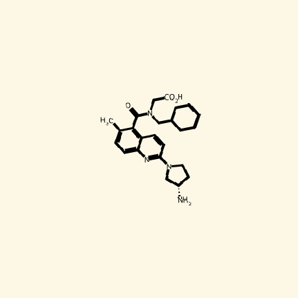 Cc1ccc2nc(N3CC[C@H](N)C3)ccc2c1C(=O)N(CC(=O)O)CC1CCCCC1